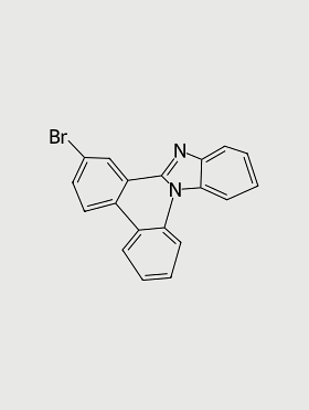 Brc1ccc2c3ccccc3n3c4ccccc4nc3c2c1